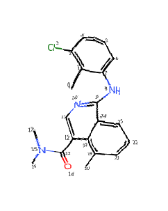 Cc1c(Cl)cccc1Nc1ncc(C(=O)N(C)C)c2c(C)cccc12